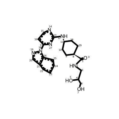 O=C(NCC(O)CO)[C@H]1CC[C@H](Nc2nccc(-n3ncc4ccccc43)n2)CC1